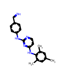 Cc1cc(C)c(Nc2ccnc(Nc3ccc(C=N)cc3)n2)c(C)c1